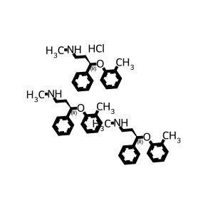 CNCC[C@@H](Oc1ccccc1C)c1ccccc1.CNCC[C@@H](Oc1ccccc1C)c1ccccc1.CNCC[C@@H](Oc1ccccc1C)c1ccccc1.Cl